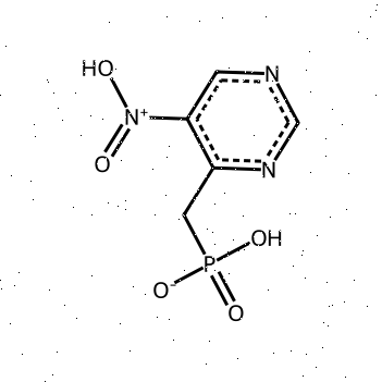 O=[N+](O)c1cncnc1CP(=O)([O-])O